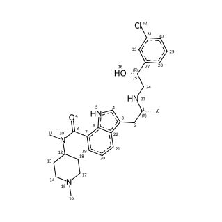 C[C@H](Cc1c[nH]c2c(C(=O)N(C)C3CCN(C)CC3)cccc12)NC[C@H](O)c1cccc(Cl)c1